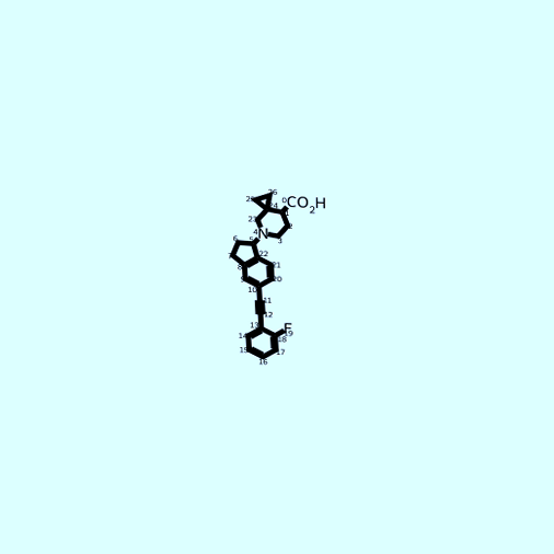 O=C(O)C1CCN(C2CCc3cc(C#Cc4ccccc4F)ccc32)CC12CC2